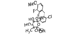 COc1ccc(Cc2cc([C@]3(OC)O[C@](C=O)(CO)[C@@H](C)[C@H](O)[C@H]3O)ccc2Cl)c(F)c1F